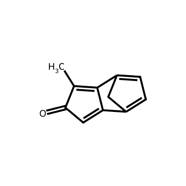 CC1=C2C3=CC=C(C3)C2=CC1=O